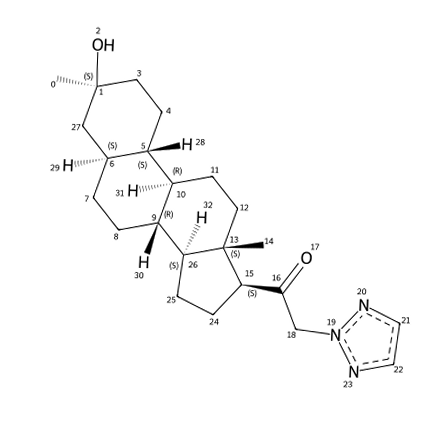 C[C@]1(O)CC[C@H]2[C@@H](CC[C@@H]3[C@@H]2CC[C@]2(C)[C@@H](C(=O)Cn4nccn4)CC[C@@H]32)C1